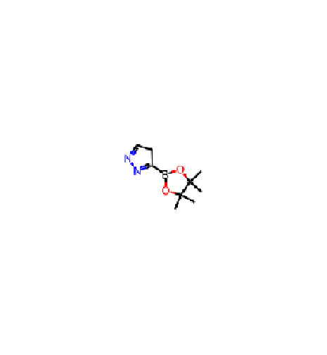 CC1(C)OB(C2=NN=CC2)OC1(C)C